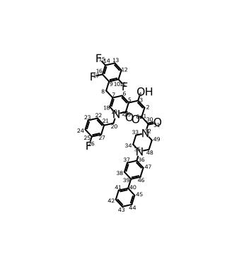 O=C(/C=C(/O)c1cc(Cc2c(F)ccc(F)c2F)cn(Cc2cccc(F)c2)c1=O)C(=O)N1CCN(c2ccc(-c3ccccc3)cc2)CC1